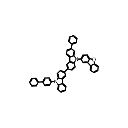 c1ccc(-c2ccc(-n3c4ccccc4c4cc(-c5ccc6c(c5)c5ccc(-c7ccccc7)cc5n6-c5ccc6oc7ccccc7c6c5)ccc43)cc2)cc1